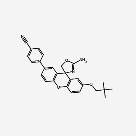 CC(C)(C)COc1ccc2c(c1)C1(COC(N)=N1)c1cc(-c3ccc(C#N)cc3)ccc1O2